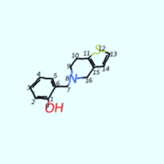 Oc1ccccc1CN1CCc2sccc2C1